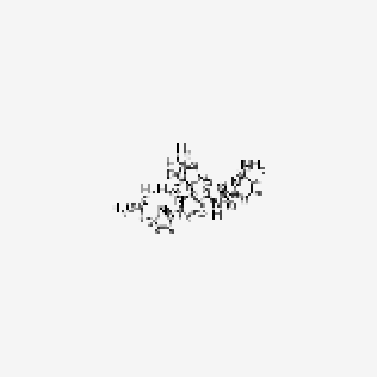 CC(C)Cc1ccn(-c2ccc(C(=O)NS(=O)(=O)c3cccc(N)n3)c(N3CCC(C)C3(C)C)n2)n1